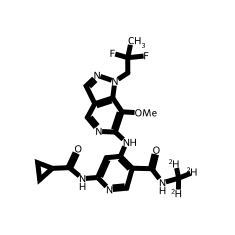 [2H]C([2H])([2H])NC(=O)c1cnc(NC(=O)C2CC2)cc1Nc1ncc2cnn(CC(C)(F)F)c2c1OC